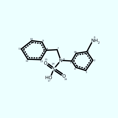 Nc1cccc(N(Cc2ccccc2)S(=O)(=O)O)c1